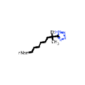 CCCCCCCCCCCCCCCC(C)(CC)c1nnn[nH]1